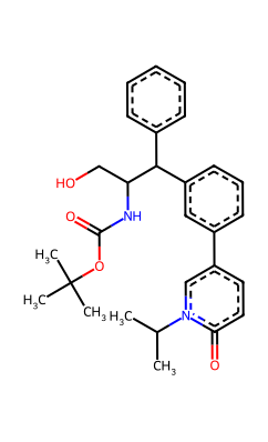 CC(C)n1cc(-c2cccc(C(c3ccccc3)C(CO)NC(=O)OC(C)(C)C)c2)ccc1=O